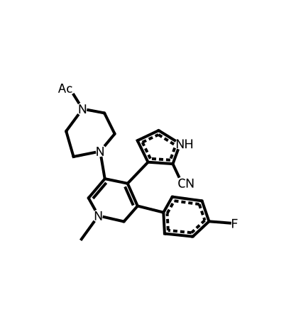 CC(=O)N1CCN(C2=CN(C)CC(c3ccc(F)cc3)=C2c2cc[nH]c2C#N)CC1